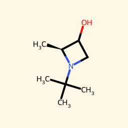 C[C@H]1C(O)CN1C(C)(C)C